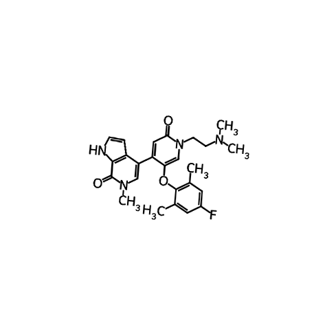 Cc1cc(F)cc(C)c1Oc1cn(CCN(C)C)c(=O)cc1-c1cn(C)c(=O)c2[nH]ccc12